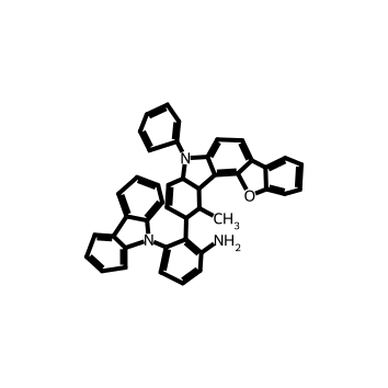 CC1C(c2c(N)cccc2-n2c3ccccc3c3ccccc32)C=CC2C1c1c(ccc3c1oc1ccccc13)N2c1ccccc1